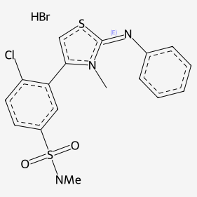 Br.CNS(=O)(=O)c1ccc(Cl)c(-c2cs/c(=N/c3ccccc3)n2C)c1